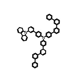 C1=CC2C3=C(CCC=C3)N(C3C=C(c4ccc(N(c5ccc(-c6cccc(-c7cccc(-c8ccccc8)c7)c6)cc5)c5ccc(C6C=C(c7cccc(-c8ccccc8)c7)C=CC6)cc5)cc4)C=CC3)C2C=C1